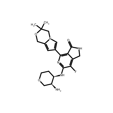 CC1(C)Cn2cc(-c3nc(N[C@@H]4CCOC[C@@H]4N)c(F)c4c3C(=O)NC4)cc2CO1